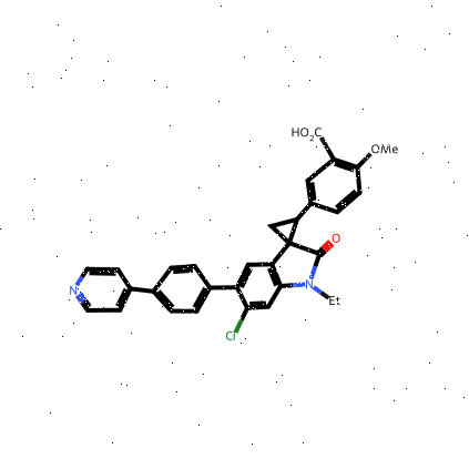 CCN1C(=O)C2(CC2c2ccc(OC)c(C(=O)O)c2)c2cc(-c3ccc(-c4ccncc4)cc3)c(Cl)cc21